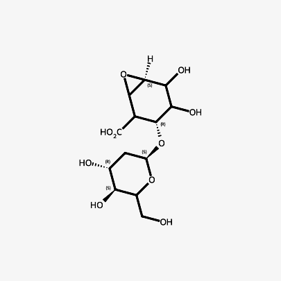 O=C(O)C1C2O[C@H]2C(O)C(O)[C@@H]1O[C@@H]1C[C@@H](O)[C@H](O)C(CO)O1